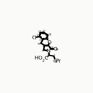 CC(C)C[C@@H](C(=O)O)N1CC2=C(Oc3cccc(Cl)c3C2)C1=O